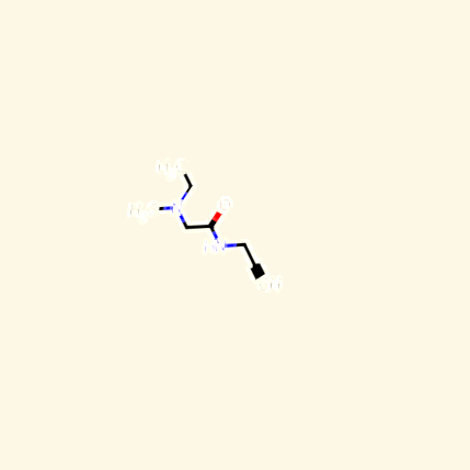 C#CCNC(=O)CN(C)CC